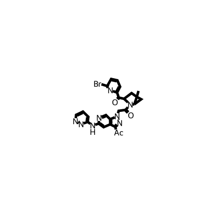 CC(=O)c1nn(CC(=O)N2C(C(=O)c3cccc(Br)n3)CC3(C)CC23)c2cnc(Nc3cccnn3)cc12